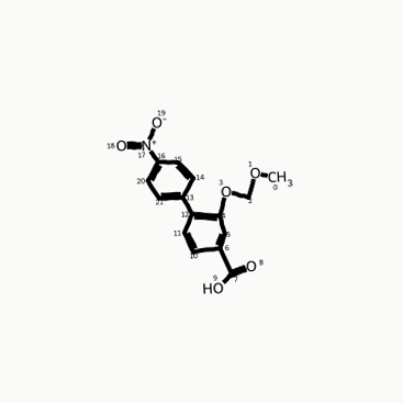 COCOc1cc(C(=O)O)ccc1-c1ccc([N+](=O)[O-])cc1